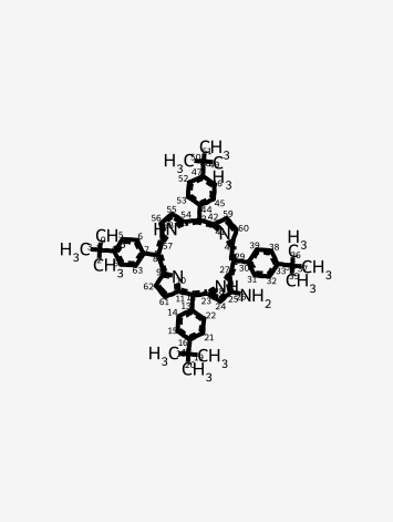 CC(C)(C)c1ccc(-c2c3nc(c(-c4ccc(C(C)(C)C)cc4)c4cc(N)c([nH]4)c(-c4ccc(C(C)(C)C)cc4)c4nc(c(-c5ccc(C(C)(C)C)cc5)c5ccc2[nH]5)C=C4)C=C3)cc1